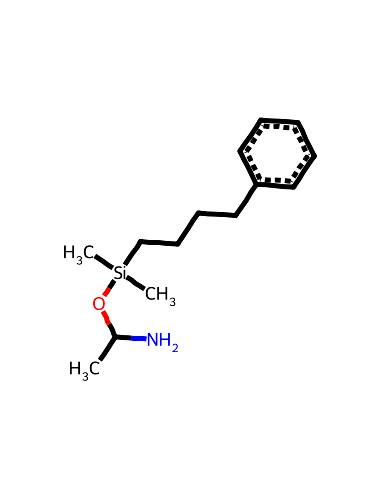 CC(N)O[Si](C)(C)CCCCc1ccccc1